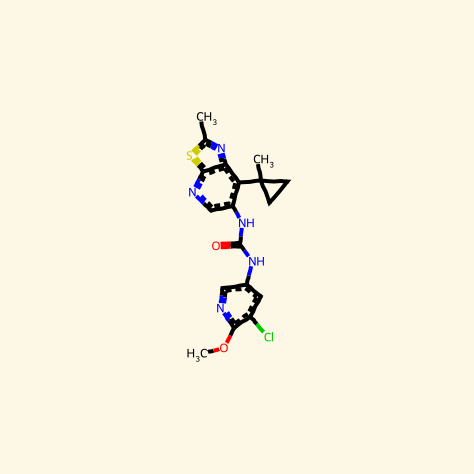 COc1ncc(NC(=O)Nc2cnc3sc(C)nc3c2C2(C)CC2)cc1Cl